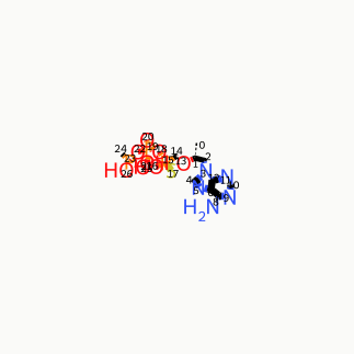 C[C@H](Cn1cnc2c(N)ncnc21)OCP(O)(=S)OP(=O)(O)OP(C)(=O)O